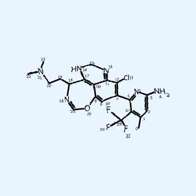 Cc1cc(N)nc(-c2cc3c4c(c2Cl)=NCNC=4C(CCN(C)C)N=CO3)c1C(F)(F)F